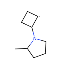 CC1CCCN1C1[CH]CC1